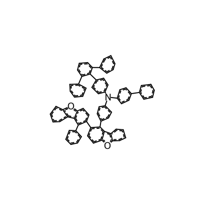 c1ccc(-c2ccc(N(c3ccc(-c4c(-c5ccccc5)cccc4-c4ccccc4)cc3)c3ccc(-c4c(-c5ccc6oc7ccccc7c6c5-c5ccccc5)ccc5oc6ccccc6c45)cc3)cc2)cc1